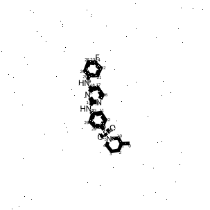 CC1CCCN(S(=O)(=O)c2ccc(Nc3nccc(Nc4ccc(F)cc4)n3)cc2)C1